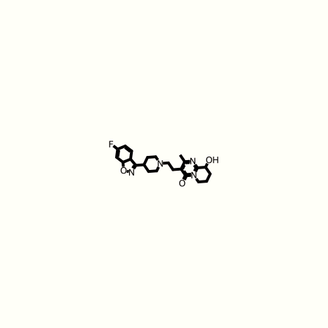 Cc1nc2n(c(=O)c1CCN1CCC(C3=NOC4C=C(F)C=CC34)CC1)CCCC2O